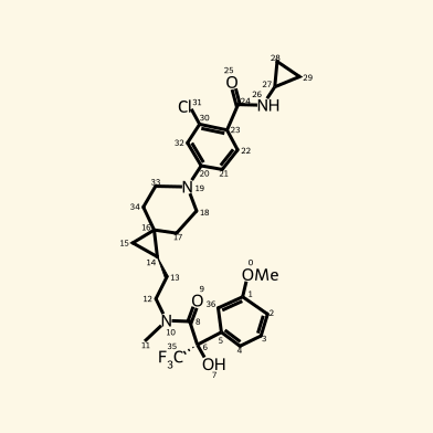 COc1cccc([C@@](O)(C(=O)N(C)CC[C@H]2CC23CCN(c2ccc(C(=O)NC4CC4)c(Cl)c2)CC3)C(F)(F)F)c1